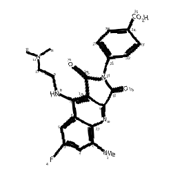 CNc1cc(F)cc2c(NCCN(C)C)c3c(nc12)C(=O)N(c1ccc(C(=O)O)cc1)C3=O